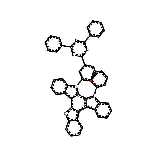 c1ccc(-c2nc(-c3ccccc3)nc(-c3cccc(-n4c5ccccc5c5c6oc7ccccc7c6c6c7ccccc7n(-c7ccccc7)c6c54)c3)n2)cc1